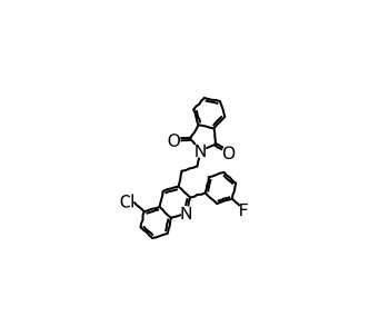 O=C1c2ccccc2C(=O)N1CCc1cc2c(Cl)cccc2nc1-c1cccc(F)c1